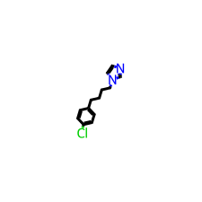 Clc1ccc(CCCCn2ccnc2)cc1